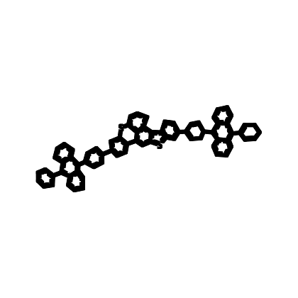 C1=CC(c2c3ccccc3c(C3C=CC(c4ccc5c(c4)sc4cc6c7c(cccc7c45)Sc4cc(-c5ccc(-c7c8ccccc8c(-c8ccccc8)c8ccccc78)cc5)ccc4-6)=CC3)c3ccccc23)=CCC1